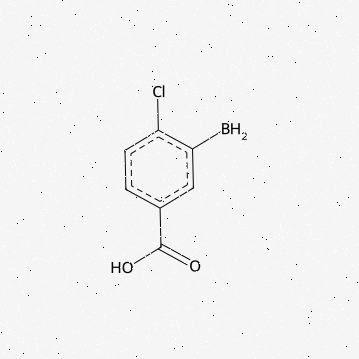 Bc1cc(C(=O)O)ccc1Cl